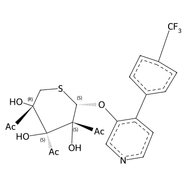 CC(=O)[C@]1(O)[C@@](O)(C(C)=O)CS[C@H](Oc2cnccc2-c2ccc(C(F)(F)F)cc2)[C@@]1(O)C(C)=O